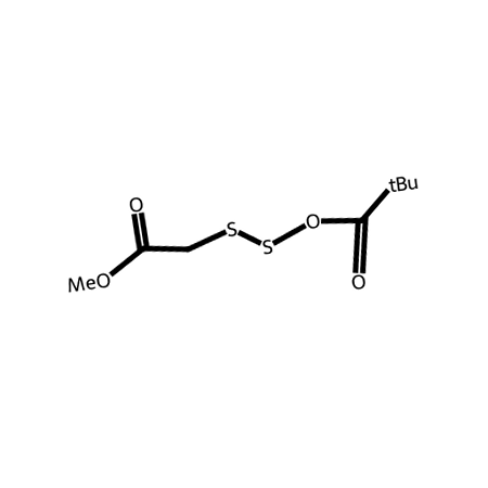 COC(=O)CSSOC(=O)C(C)(C)C